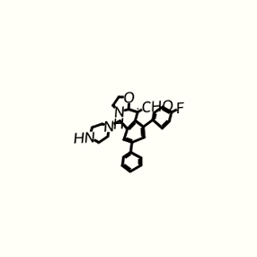 O=C[C](c1c(CN2CCNCC2)cc(-c2ccccc2)cc1-c1ccc(F)cc1)C1NCCO1